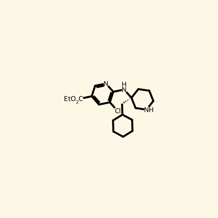 CCOC(=O)c1cnc(N[C@@]2(CC3CCCCC3)CCCNC2)c(Cl)c1